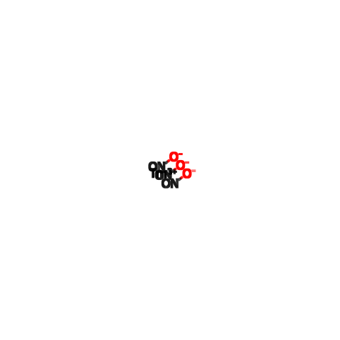 O=N[O-].O=N[O-].O=N[O-].[Tm+3]